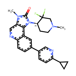 CN1CC[C@@H](n2c(=O)n(C)c3cnc4ccc(-c5ccc(C6CC6)nc5)cc4c32)C(F)(F)C1